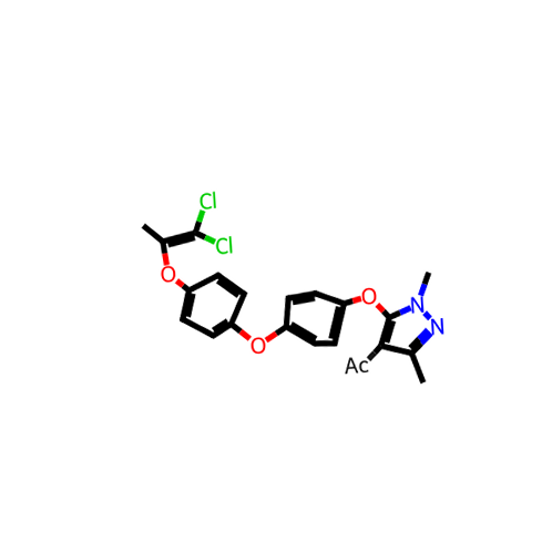 CC(=O)c1c(C)nn(C)c1Oc1ccc(Oc2ccc(OC(C)=C(Cl)Cl)cc2)cc1